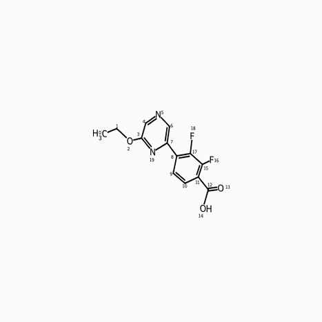 CCOc1cncc(-c2ccc(C(=O)O)c(F)c2F)n1